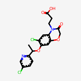 CC(Oc1cc2c(cc1Cl)N(CCC(=O)O)C(=O)CO2)c1ccc(Cl)cn1